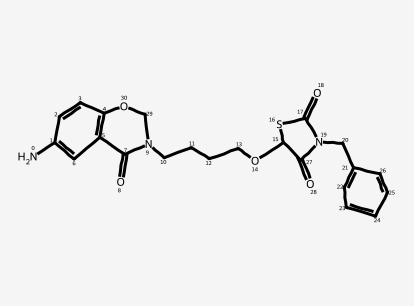 Nc1ccc2c(c1)C(=O)N(CCCCOC1SC(=O)N(Cc3ccccc3)C1=O)CO2